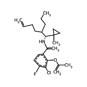 C=CCCC(CCC)[C@@H](NC(=C)c1ccc(F)c(Cl)c1OC(=C)C)C1(C)CC1